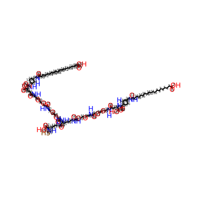 O=C(O)CCCCCCCCCCCCCCCCCCC(=O)NCC1CCC(C(=O)N[C@@H](CCC(=O)NCCOCCOCC(=O)NCCOCCOCC(=O)NCCCC[C@H](NC(=O)COCCOCCNC(=O)COCCOCCNC(=O)CC[C@H](NC(=O)[C@H]2CC[C@H](CNC(=O)CCCCCCCCCCCCCCCCCCC(=O)O)CC2)C(=O)O)C(=O)NCCCC[C@H](NS)C(=O)O)C(=O)O)CC1